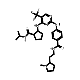 CC(C)NC(=O)C1CCCC1Nc1nc(Nc2ccc(C(=O)NCCC3CCCN3C)cc2)ncc1C(F)(F)F